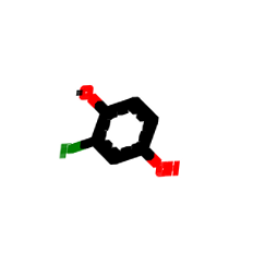 [O]c1ccc(O)cc1F